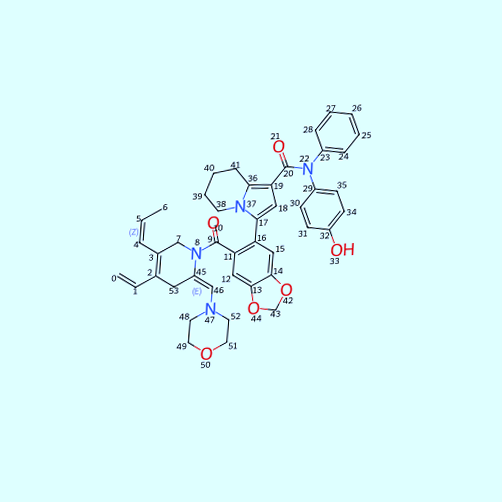 C=CC1=C(/C=C\C)CN(C(=O)c2cc3c(cc2-c2cc(C(=O)N(c4ccccc4)c4ccc(O)cc4)c4n2CCCC4)OCO3)/C(=C/N2CCOCC2)C1